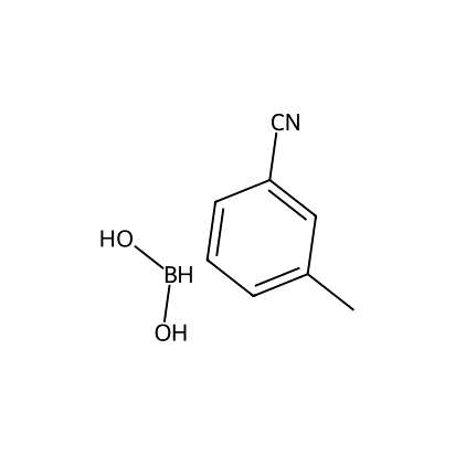 Cc1cccc(C#N)c1.OBO